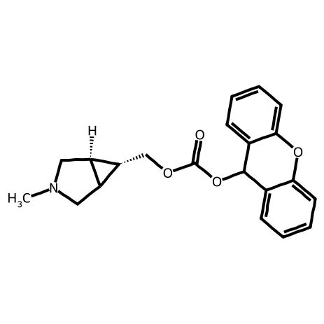 CN1CC2[C@@H](COC(=O)OC3c4ccccc4Oc4ccccc43)[C@@H]2C1